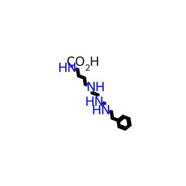 O=C(O)NCCCCNCCNCNCCc1ccccc1